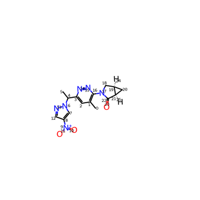 Cc1cc(C(C)n2cc([N+](=O)[O-])cn2)nnc1N1C[C@H]2C[C@H]2C1=O